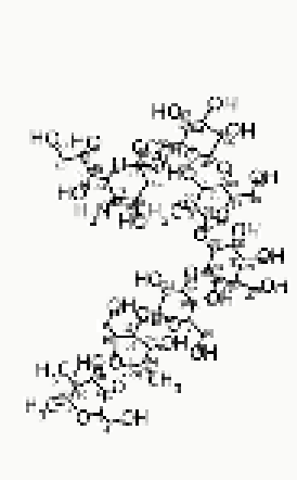 C[C@@H]1OC(CO)[C@@H](O[C@@H]2OC(CO)[C@@H](O[C@@H]3OC(CO)[C@@H](O)C(O[C@H]4O[C@H](CO)[C@@H](O)C(O)C4O[C@@H]4OC(CO)[C@@H](O[C@@H]5OC(CO[C@]6(C(=O)O)C[C@@H](O)[C@@H](N)C([C@H](O)[C@H](O)CO)O6)[C@H](O)C(O)[C@@H]5O)C(O)[C@@H]4C)C3O)C(O)[C@@H]2C)C(O)[C@@H]1C